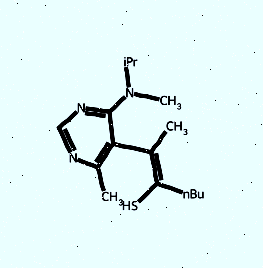 CCCC/C(S)=C(\C)c1c(C)ncnc1N(C)C(C)C